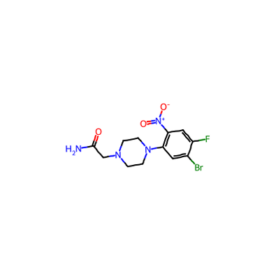 NC(=O)CN1CCN(c2cc(Br)c(F)cc2[N+](=O)[O-])CC1